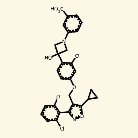 O=C(O)c1cccc(N2CC(O)(c3ccc(OCc4c(-c5c(Cl)cccc5Cl)noc4C4CC4)cc3Cl)C2)c1